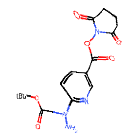 CC(C)(C)OC(=O)N(N)c1ccc(C(=O)ON2C(=O)CCC2=O)cn1